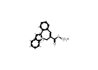 O=C(O)OC(=O)C1=Cc2ccccc2-c2cc3ccccc3n2C1